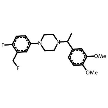 COc1ccc(C(C)N2CCN(c3ccc(F)c(CF)c3)CC2)cc1OC